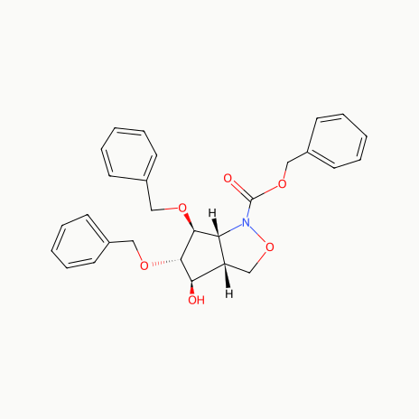 O=C(OCc1ccccc1)N1OC[C@@H]2[C@@H](O)[C@H](OCc3ccccc3)[C@@H](OCc3ccccc3)[C@@H]21